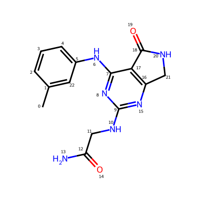 Cc1cccc(Nc2nc(NCC(N)=O)nc3c2C(=O)NC3)c1